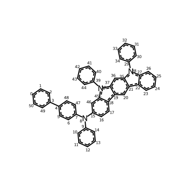 c1ccc(-c2ccc(N(c3ccccc3)c3ccc4c5cc6c7ccccc7n(-c7ccccc7)c6cc5n(-c5ccccc5)c4c3)cc2)cc1